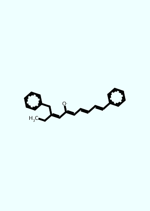 CCC(=CC([O])=CC=CC=Cc1ccccc1)Cc1ccccc1